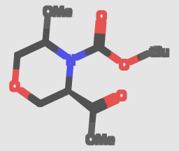 COC(=O)[C@H]1COCC(OC)N1C(=O)OC(C)(C)C